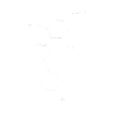 COc1cc(CO)cc(O)c1C(=O)/C=C/c1ccc(C)cc1